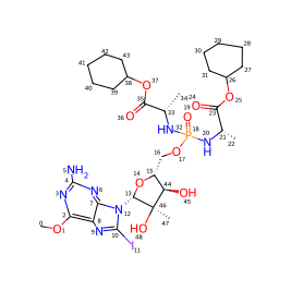 COc1nc(N)nc2c1nc(I)n2[C@@H]1O[C@H](COP(=O)(N[C@@H](C)C(=O)OC2CCCCC2)N[C@@H](C)C(=O)OC2CCCCC2)[C@@H](O)[C@@]1(C)O